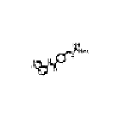 CNC(=N)NCC1CCC(C(=O)Nc2ccnc3[nH]ncc23)CC1